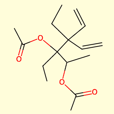 C=CC(C=C)(CC)C(CC)(OC(C)=O)C(C)OC(C)=O